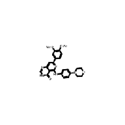 COc1ccc(-c2cc3nc[nH]c(=O)c3c(Nc3ccc(N4CCOCC4)cc3)n2)cc1OC